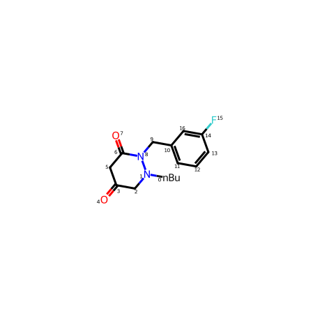 CCCCN1CC(=O)CC(=O)N1Cc1cccc(F)c1